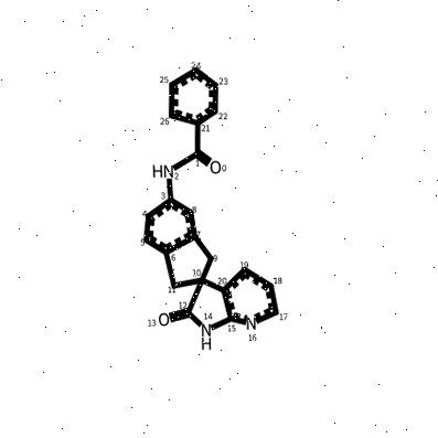 O=C(Nc1ccc2c(c1)CC1(C2)C(=O)Nc2ncccc21)c1ccccc1